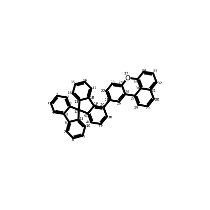 c1ccc2c(c1)-c1ccccc1C21c2ccccc2-c2c(-c3ccc4c(c3)-c3cccc5cccc(c35)O4)cccc21